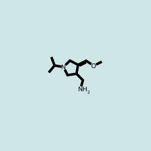 CO/C=C1/CN(C(C)C)CC1CN